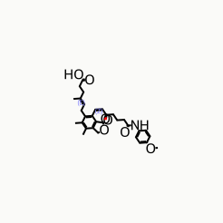 COc1ccc(NC(=O)CCCC(=O)/C=C\c2c(C/C=C(\C)CCC(=O)O)c(C)c(C)c3c2C(=O)OC3)cc1